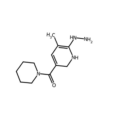 CC1=C(NN)NCC(C(=O)N2CCCCC2)=C1